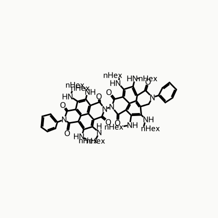 CCCCCCNc1c(NCCCCCC)c2c3c(c(NCCCCCC)c(NCCCCCC)c4c3c1CN(c1ccccc1)C4=O)C(=O)N(N1C(=O)c3c(NCCCCCC)c(NCCCCCC)c4c5c(c(NCCCCCC)c(NCCCCCC)c(c35)C1=O)C(=O)N(c1ccccc1)C4=O)C2=O